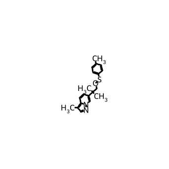 Cc1ccc(SOCC(C)(C)c2ccc3c(C)cnn3c2)cc1